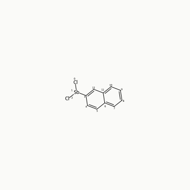 [Cl][Sb]([Cl])[c]1ccc2ccccc2c1